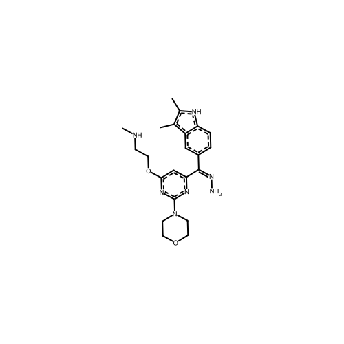 CNCCOc1cc(C(=NN)c2ccc3[nH]c(C)c(C)c3c2)nc(N2CCOCC2)n1